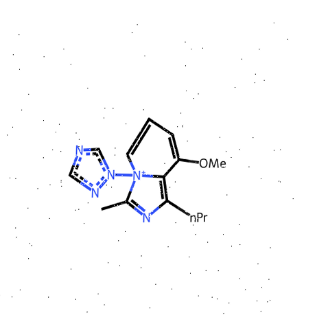 CCCC1=C2C(OC)=CC=C[N+]2(n2cncn2)C(C)=N1